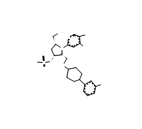 COC[C@@H]1C[C@H](NS(C)(=O)=O)[C@H](COC2CCC(c3cccc(F)c3)CC2)N1c1cc(O)c(F)cn1